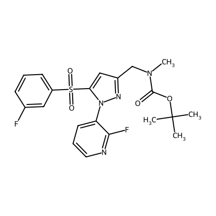 CN(Cc1cc(S(=O)(=O)c2cccc(F)c2)n(-c2cccnc2F)n1)C(=O)OC(C)(C)C